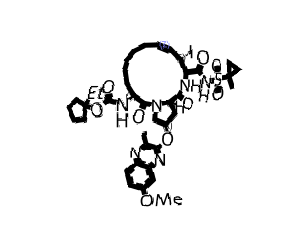 CCC1(OC(=O)N[C@H]2CCCCC/C=C\[C@H](I)C(C(=O)NS(=O)(=O)C3(C)CC3)NC(=O)[C@@H]3C[C@@H](Oc4nc5cc(OC)ccc5nc4C)CN3C2=O)CCCC1